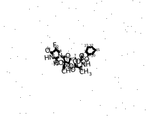 C#C[C@@]1(O)[C@H](O)[C@@H](CO[P@@](=O)(N[C@@H](C)C(=O)OC(C)C)Oc2ccccc2)O[C@H]1n1cc(F)c(=O)[nH]c1=O